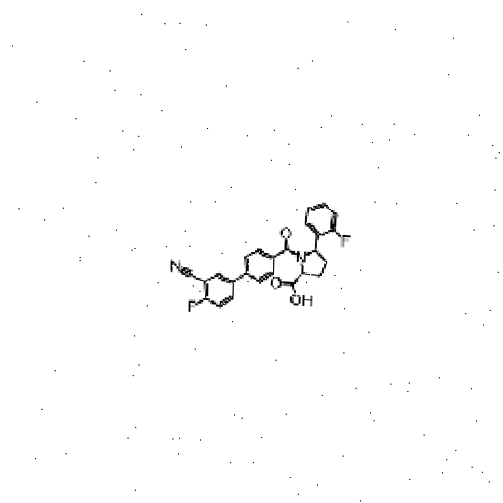 N#Cc1cc(-c2ccc(C(=O)N3[C@@H](c4ccccc4F)CC[C@H]3C(=O)O)cc2)ccc1F